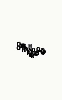 O=C(c1ccccn1)N1CCC(n2ncc3nc(NCc4ccc(Cl)c(Cl)c4)[nH]c(=O)c32)C1